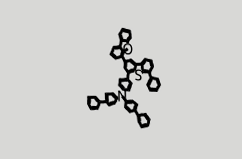 c1ccc(-c2ccc(N(c3ccc(-c4ccccc4)cc3)c3ccc(-c4cc(-c5cccc6c5oc5ccccc56)cc5c4sc4c(-c6ccccc6)cccc45)cc3)cc2)cc1